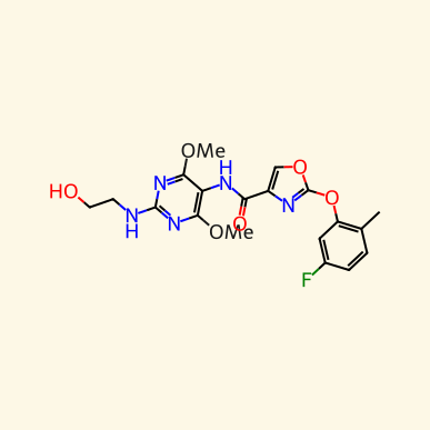 COc1nc(NCCO)nc(OC)c1NC(=O)c1coc(Oc2cc(F)ccc2C)n1